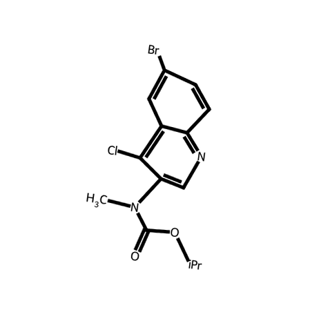 CC(C)OC(=O)N(C)c1cnc2ccc(Br)cc2c1Cl